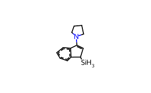 [SiH3]C1C=C(N2CCCC2)c2ccccc21